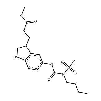 CCCCN(C(=O)Oc1ccc2c(c1)C(CCC(=O)OC)CN2)S(C)(=O)=O